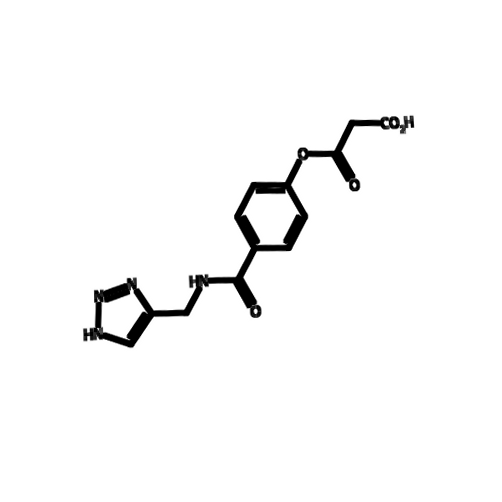 O=C(O)CC(=O)Oc1ccc(C(=O)NCc2c[nH]nn2)cc1